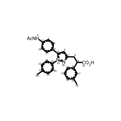 CC(=O)Nc1ccc(-c2cc(CC(C(=O)O)c3cccc(C)c3)nn2-c2ccc(C)cc2)cc1